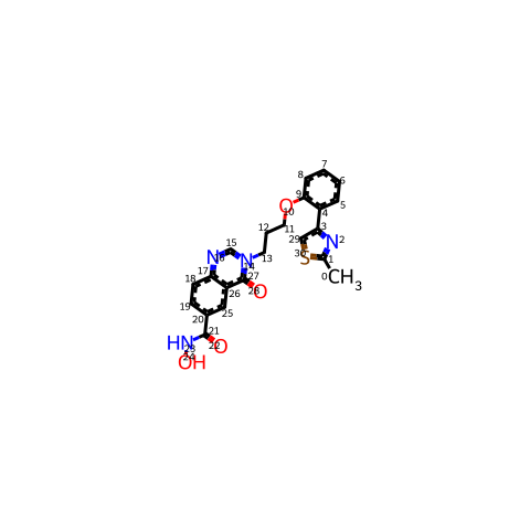 Cc1nc(-c2ccccc2OCCCn2cnc3ccc(C(=O)NO)cc3c2=O)cs1